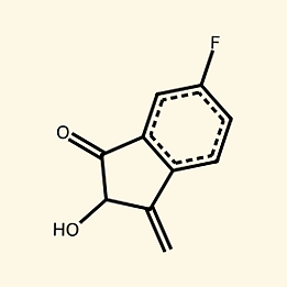 C=C1c2ccc(F)cc2C(=O)C1O